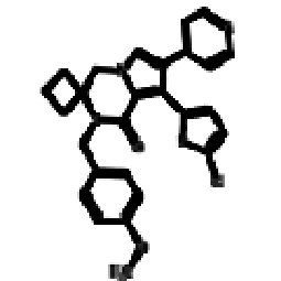 COc1ccc(CN2C(=O)c3c(-c4ccc(Cl)s4)c(-c4ccncc4)cn3CC23CCC3)cc1